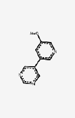 COc1cncc(-c2cncnc2)c1